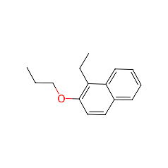 CCCOc1ccc2ccccc2c1CC